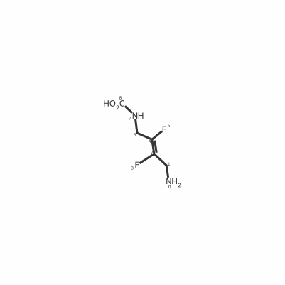 NCC(F)=C(F)CNC(=O)O